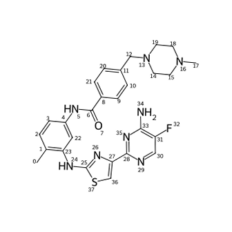 Cc1ccc(NC(=O)c2ccc(CN3CCN(C)CC3)cc2)cc1Nc1nc(-c2ncc(F)c(N)n2)cs1